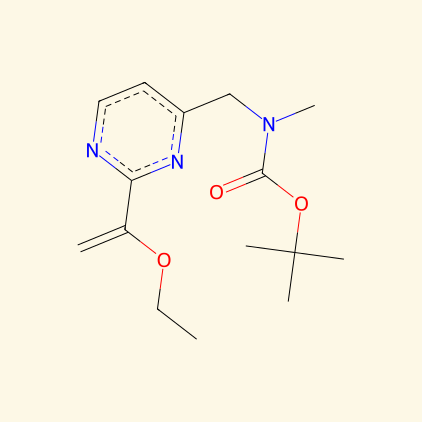 C=C(OCC)c1nccc(CN(C)C(=O)OC(C)(C)C)n1